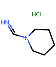 Cl.N=CN1CCCCC1